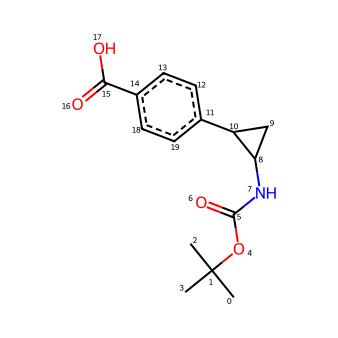 CC(C)(C)OC(=O)NC1CC1c1ccc(C(=O)O)cc1